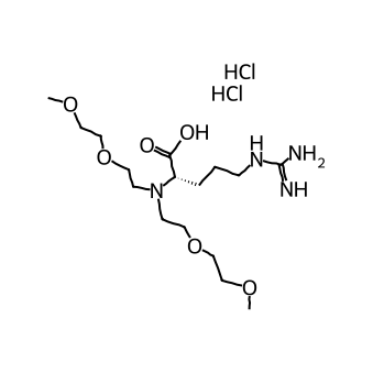 COCCOCCN(CCOCCOC)[C@@H](CCCNC(=N)N)C(=O)O.Cl.Cl